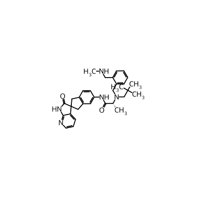 CNCc1ccccc1CN(CC(C)(C)C)[C@H](C)C(=O)Nc1ccc2c(c1)CC1(C2)C(=O)Nc2ncccc21